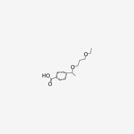 CCOCCCOC(C)c1ccc(C(=O)O)cc1